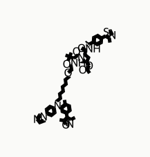 CC(=O)OC1CC(C(=O)N[C@@H](C)c2ccc(-c3scnc3C)cc2)N(C(=O)C(NC(=O)COCCCCCCCCN(c2ccc(-n3ccnc3)cc2)c2cc(-c3c(C)noc3C)ccc2C)C(C)(C)C)C1